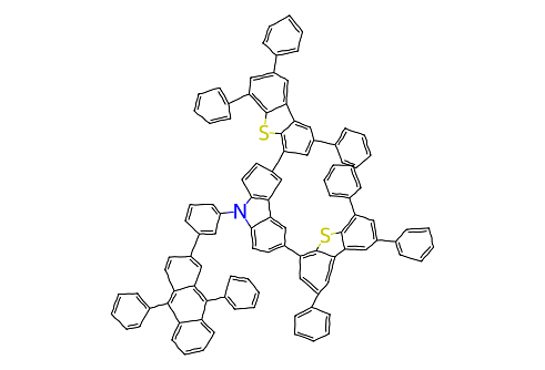 c1ccc(-c2cc(-c3ccccc3)c3sc4c(-c5ccc6c(c5)c5cc(-c7cc(-c8ccccc8)cc8c7sc7c(-c9ccccc9)cc(-c9ccccc9)cc78)ccc5n6-c5cccc(-c6ccc7c(-c8ccccc8)c8ccccc8c(-c8ccccc8)c7c6)c5)cc(-c5ccccc5)cc4c3c2)cc1